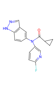 O=C(C1CC1)N(c1ccc(F)nc1)c1ccc2[nH]ncc2c1